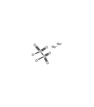 O=S(=O)([O-])S(=O)(=O)[O-].[Na+].[Na+]